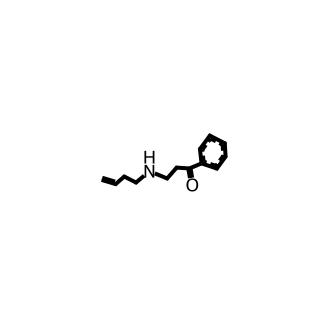 C=CCCNCCC(=O)c1ccccc1